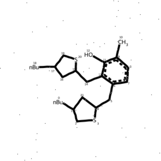 CCCCC1CSC(Cc2ccc(C)c(O)c2CC2CC(CCCC)CS2)C1